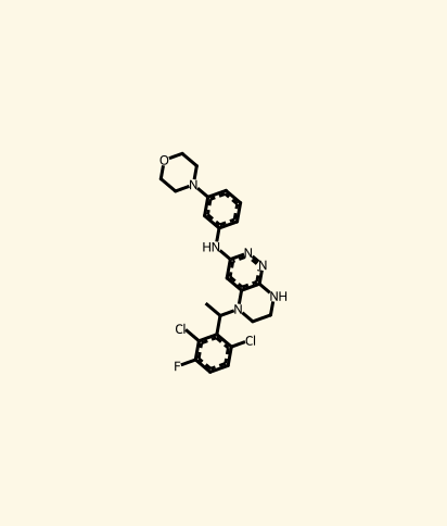 CC(c1c(Cl)ccc(F)c1Cl)N1CCNc2nnc(Nc3cccc(N4CCOCC4)c3)cc21